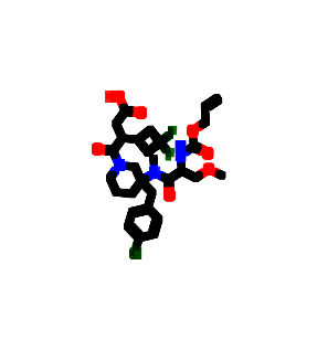 C=CCOC(=O)NC(COC)C(=O)N(C)C1(Cc2ccc(Cl)cc2)CCCN(C(=O)C(CC(=O)O)C2CC(F)(F)C2)C1